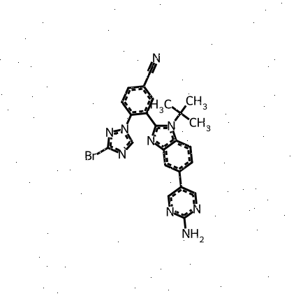 CC(C)(C)n1c(-c2cc(C#N)ccc2-n2cnc(Br)n2)nc2cc(-c3cnc(N)nc3)ccc21